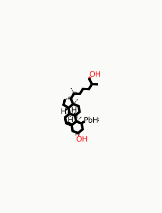 CC(CO)CCC[C@@H](C)[C@H]1CC[C@H]2[C@@H]3CC=C4C[C@@H](O)C[CH]([PbH])[C@]4(C)[C@H]3CC[C@]12C